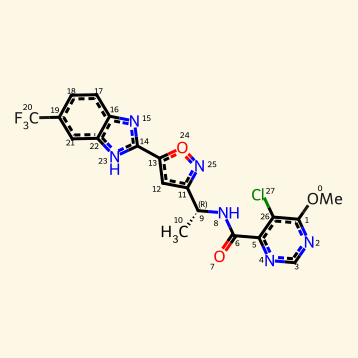 COc1ncnc(C(=O)N[C@H](C)c2cc(-c3nc4ccc(C(F)(F)F)cc4[nH]3)on2)c1Cl